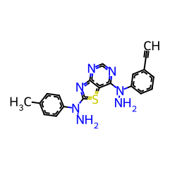 C#Cc1cccc(N(N)c2ncnc3nc(N(N)c4ccc(C)cc4)sc23)c1